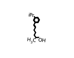 CC(C)c1cccc(/C=C/CCC[C@@H](C)CO)c1